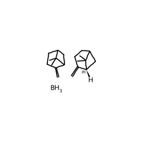 B.C=C1CCC2CC1C2(C)C.C=C1CCC2C[C@H]1C2(C)C